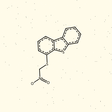 O=[N+]([O-])CSc1cccc2c1sc1ccccc12